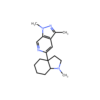 Cc1nn(C)c2cnc(C34CCCCC3N(C)CC4)cc12